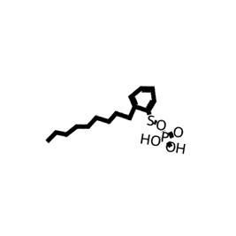 CCCCCCCCCc1ccccc1SOP(=O)(O)O